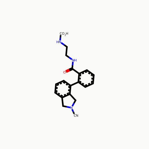 N#CN1Cc2cccc(-c3ccccc3C(=O)NCCNC(=O)O)c2C1